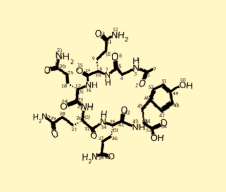 CC(=O)NCC(=O)N[C@@H](CCC(N)=O)C(=O)N[C@@H](CCC(N)=O)C(=O)N[C@@H](CCC(N)=O)C(=O)N[C@@H](CCC(N)=O)C(=O)N[C@@H](Cc1ccc(O)cc1)C(=O)O